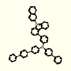 c1ccc(-c2ccc(-c3ccc(N(c4ccc(-c5ccccc5)cc4)c4cccc(-c5cccc6c5c5ccccc5n6-c5ccc6ccccc6c5)c4)cc3)cc2)cc1